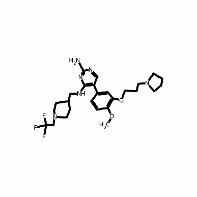 COc1ccc(-c2cnc(N)nc2NCC2CCN(CC(F)(F)F)CC2)cc1OCCCN1CCCC1